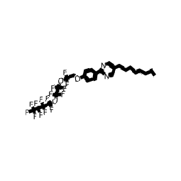 CCCCCCCCc1cnc(-c2ccc(OCC(F)(F)OC(F)(F)C(F)(F)OC(F)(F)C(F)(F)C(F)(F)C(F)(F)F)cc2)nc1